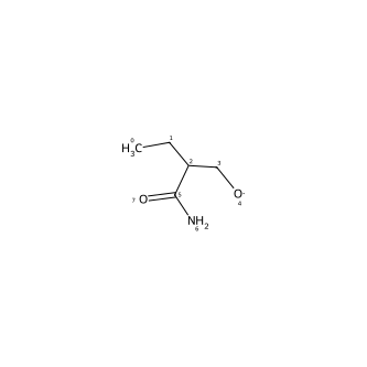 CCC(C[O])C(N)=O